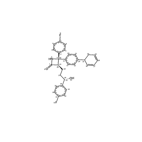 O=C1N[C@](c2ccc(F)cc2)(c2ccc(C3C=[C]C=CC3)cc2)[C@H]1CC[C@H](O)c1ccc(F)cc1